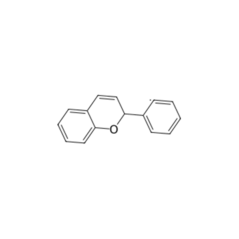 [c]1ccccc1C1C=Cc2ccccc2O1